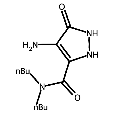 CCCCN(CCCC)C(=O)c1[nH][nH]c(=O)c1N